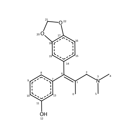 CC(CN(C)C)=C(c1cccc(O)c1)c1ccc2c(c1)OCO2